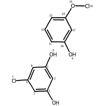 Oc1cc(O)cc(Cl)c1.Oc1cccc(OCl)c1